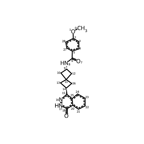 COc1ccc(C(=O)N[C@H]2CC3(C2)C[C@H](c2n[nH]c(=O)c4ccccc42)C3)cc1